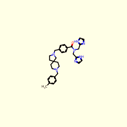 Cc1ccc(CN2CCC3(CC2)CCN(Cc2ccc(C(=O)N(Cc4ncc[nH]4)Cc4ncc[nH]4)cc2)C3)cc1